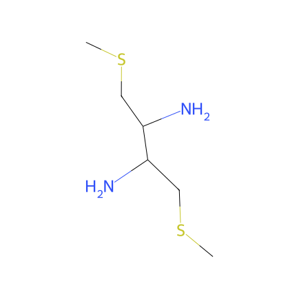 CSCC(N)C(N)CSC